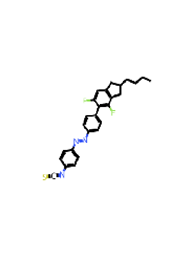 CCCCC1Cc2cc(F)c(-c3ccc(N=Nc4ccc(N=C=S)cc4)cc3)c(F)c2C1